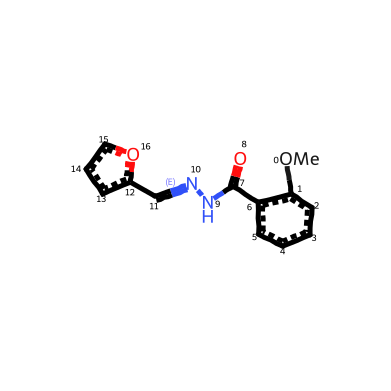 COc1ccccc1C(=O)N/N=C/c1ccco1